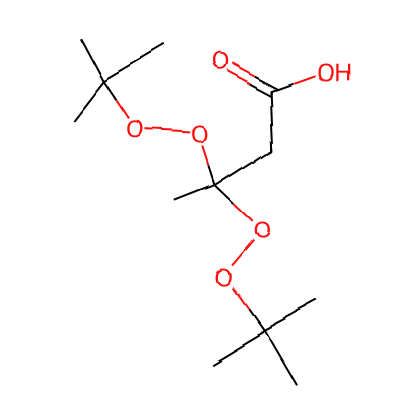 CC(C)(C)OOC(C)(CC(=O)O)OOC(C)(C)C